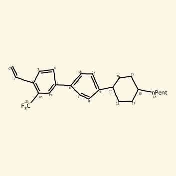 C=Cc1ccc(-c2ccc(C3CCC(CCCCC)CC3)cc2)cc1C(F)(F)F